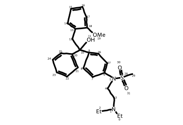 CCN(CC)CCN(c1ccc(C(O)(Cc2ccccc2OC)c2ccccc2)cc1)S(C)(=O)=O